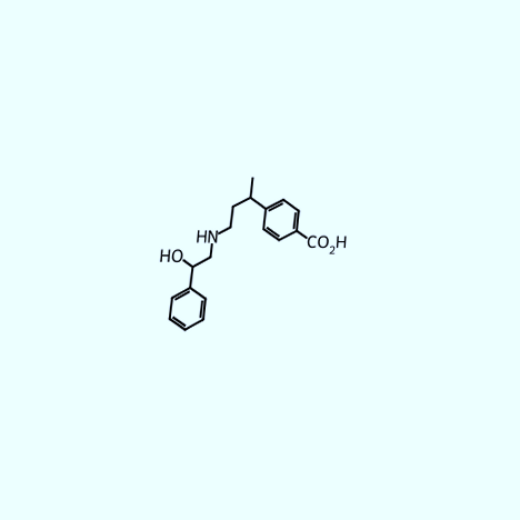 CC(CCNCC(O)c1ccccc1)c1ccc(C(=O)O)cc1